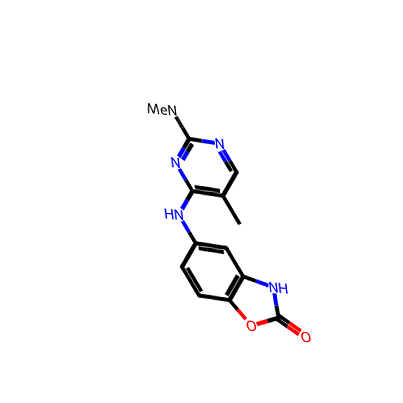 CNc1ncc(C)c(Nc2ccc3oc(=O)[nH]c3c2)n1